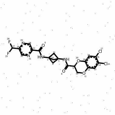 O=C(NC12CC(NC(=O)C3COc4cc(Cl)c(Cl)cc4O3)(C1)C2)c1cnc(C(F)F)cn1